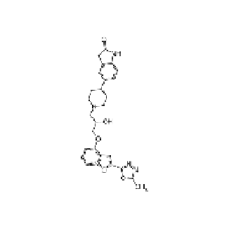 Cc1nnc(-c2cc3c(OC[C@@H](O)CN4CCC(c5ccc6c(c5)CC(=O)N6)CC4)cccc3o2)o1